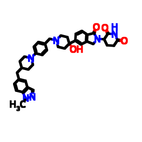 Cn1ncc2cc(CC3CCN(c4ccc(CN5CCC(O)(c6ccc7c(c6)CN(C6CCC(=O)NC6=O)C7=O)CC5)cc4)CC3)ccc21